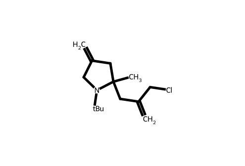 C=C(CCl)CC1(C)CC(=C)CN1C(C)(C)C